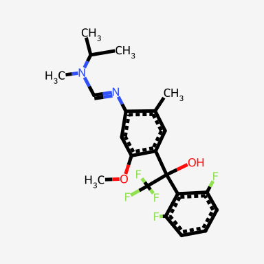 COc1cc(/N=C/N(C)C(C)C)c(C)cc1C(O)(c1c(F)cccc1F)C(F)(F)F